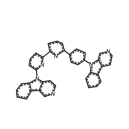 c1cc(-c2ccc(-n3c4ccccc4c4ccncc43)cc2)nc(-c2cccc(-n3c4ccccc4c4cnccc43)n2)c1